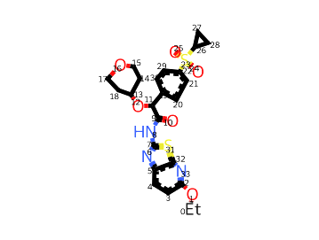 CCOc1ccc2nc(NC(=O)C(OC3CCOCC3)c3ccc(S(=O)(=O)C4CC4)cc3)sc2n1